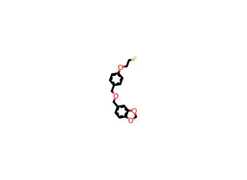 FCCOc1ccc(COCc2ccc3c(c2)OCO3)cc1